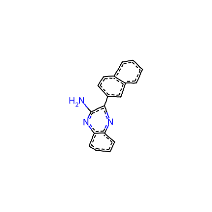 Nc1nc2ccccc2nc1-c1ccc2ccccc2c1